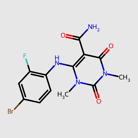 Cn1c(Nc2ccc(Br)cc2F)c(C(N)=O)c(=O)n(C)c1=O